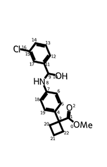 COC(=O)C1(c2ccc(NC(O)c3cccc(Cl)c3)cc2)CCC1